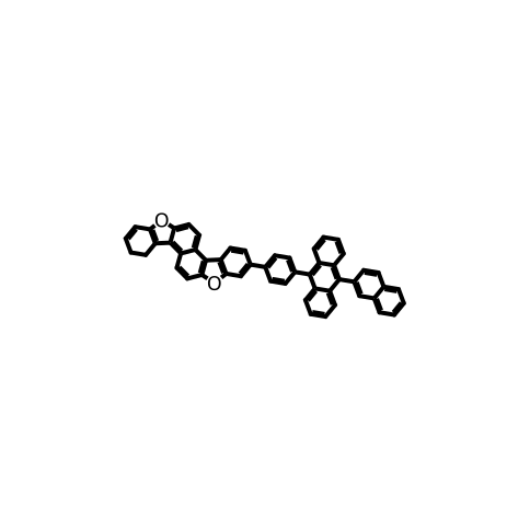 C1=Cc2oc3ccc4c(ccc5oc6cc(-c7ccc(-c8c9ccccc9c(-c9ccc%10ccccc%10c9)c9ccccc89)cc7)ccc6c54)c3c2CC1